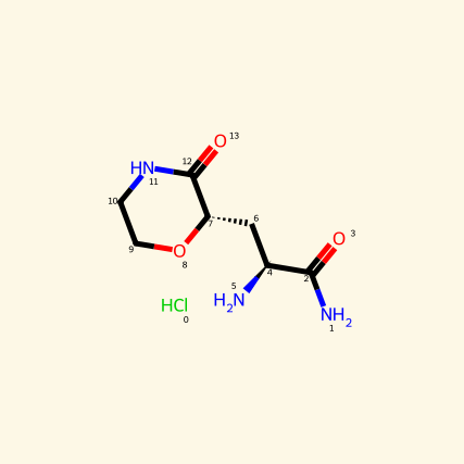 Cl.NC(=O)[C@@H](N)C[C@@H]1OCCNC1=O